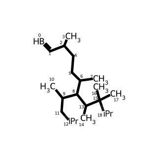 B=CC(C)CCC(C)C(C(C)CC(C)C)C(C)C(C)(C)C(C)C